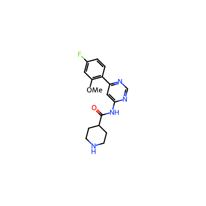 COc1cc(F)ccc1-c1cc(NC(=O)C2CCNCC2)ncn1